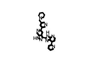 c1ccc(-c2ccnc3[nH]c(-c4n[nH]c5cnc(-c6cncc(CN7CCCCC7)c6)cc45)nc23)nc1